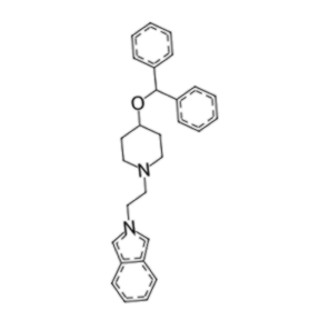 c1ccc(C(OC2CCN(CCn3cc4ccccc4c3)CC2)c2ccccc2)cc1